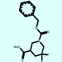 COC(=O)C1CN(C(=O)OCc2ccccc2)CC(F)(F)C1